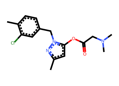 Cc1cc(OC(=O)CN(C)C)n(Cc2ccc(C)c(Cl)c2)n1